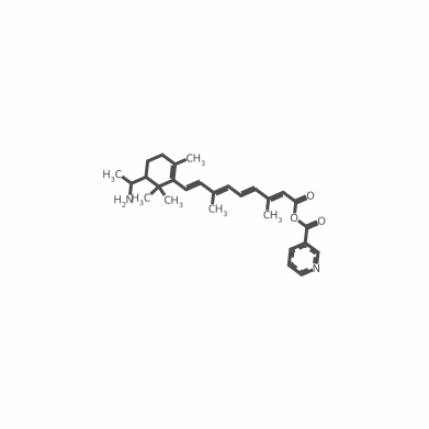 CC1=C(/C=C/C(C)=C/C=C/C(C)=C/C(=O)OC(=O)c2cccnc2)C(C)(C)C(C(C)N)CC1